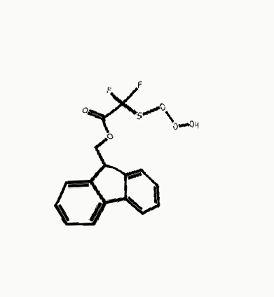 O=C(OCC1c2ccccc2-c2ccccc21)C(F)(F)SOOO